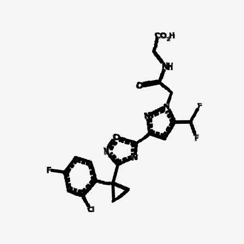 O=C(O)CNC(=O)Cn1nc(-c2nc(C3(c4ccc(F)cc4Cl)CC3)no2)cc1C(F)F